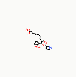 O=C(O)CCCC/C=C\CC1COC(c2cccnc2)OC1c1ccccc1O